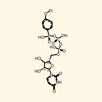 CCOc1ccc(P(=O)(O)OP(=O)(O)OP(=O)(O)OC[C@H]2O[C@@H](n3ccc(=O)[nH]c3=O)[C@@H](O)C2O)cc1